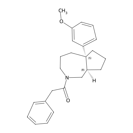 COc1cccc([C@]23CCC[C@H]2CN(C(=O)Cc2ccccc2)CCC3)c1